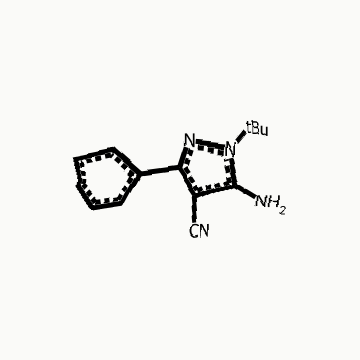 CC(C)(C)n1nc(-c2ccccc2)c(C#N)c1N